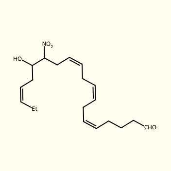 CC/C=C\CC(O)C(C/C=C\C/C=C\C/C=C\CCC[C]=O)[N+](=O)[O-]